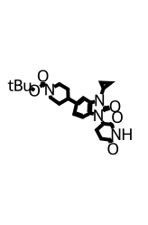 CC(C)(C)OC(=O)N1CCC(c2ccc3c(c2)n(C2CC2)c(=O)n3C2CCC(=O)NC2=O)CC1